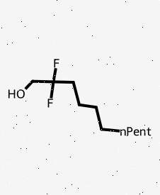 CCCCCCCCCC(F)(F)CO